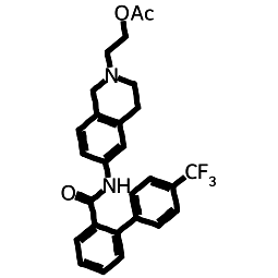 CC(=O)OCCN1CCc2cc(NC(=O)c3ccccc3-c3ccc(C(F)(F)F)cc3)ccc2C1